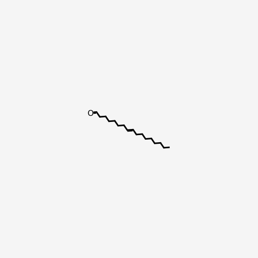 CCCCCCCCC=CCCCCCCC=O